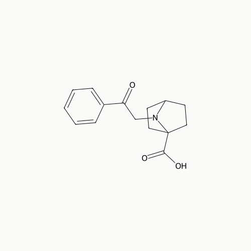 O=C(CN1C2CCC1(C(=O)O)CC2)c1ccccc1